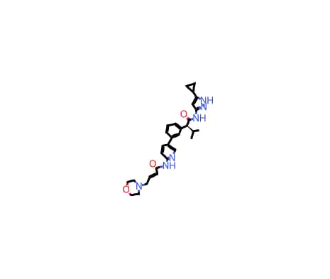 CC(C)[C@H](C(=O)Nc1cc(C2CC2)[nH]n1)c1cccc(-c2ccc(NC(=O)/C=C/CN3CCOCC3)nc2)c1